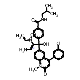 C=CN(C)/C(=C\N)C(O)(c1ccc(C(=O)NCC(C)C)cc1)c1ccc2c(c1)c(-c1cccc(Cl)c1)cc(=O)n2C